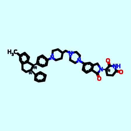 Cc1ccc2c(c1)CC[C@H](c1ccccc1)[C@@H]2c1ccc(N2CCC(CN3CCN(c4ccc5c(c4)CN([C@H]4CCC(=O)NC4=O)C5=O)CC3)CC2)cc1